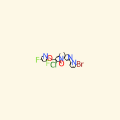 Cc1cnc(-c2cccc(Br)n2)cc1-n1c(C)cc(COc2ncc(F)cc2F)c(Cl)c1=O